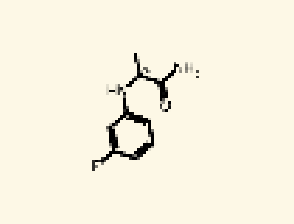 C[C@H](Nc1cccc(F)c1)C(N)=O